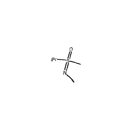 CN=S(C)(=O)C(C)C